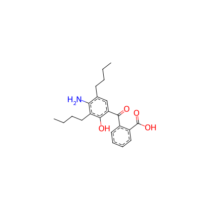 CCCCc1cc(C(=O)c2ccccc2C(=O)O)c(O)c(CCCC)c1N